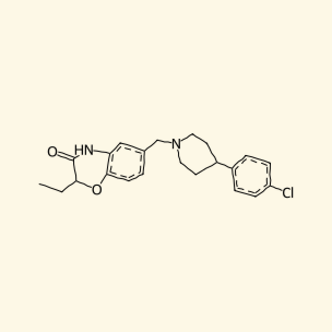 CCC1Oc2ccc(CN3CCC(c4ccc(Cl)cc4)CC3)cc2NC1=O